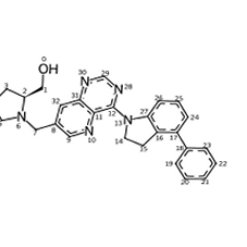 OC[C@@H]1CCCN1Cc1cnc2c(N3CCc4c(-c5ccccc5)cccc43)ncnc2c1